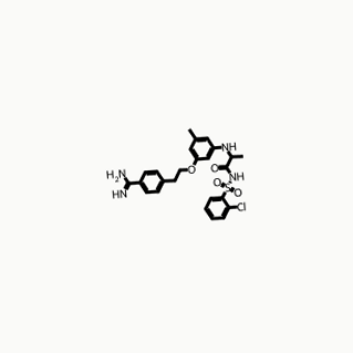 Cc1cc(NC(C)C(=O)NS(=O)(=O)c2ccccc2Cl)cc(OCCc2ccc(C(=N)N)cc2)c1